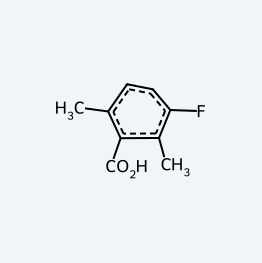 Cc1ccc(F)c(C)c1C(=O)O